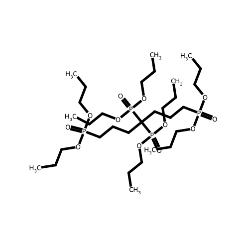 CCCOP(=O)(CCCC(CCCP(=O)(OCCC)OCCC)(P(=O)(OCCC)OCCC)P(=O)(OCCC)OCCC)OCCC